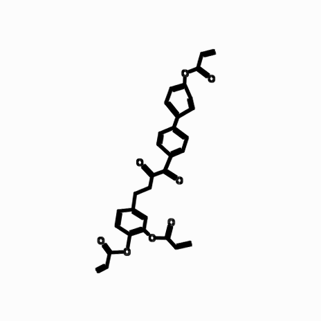 C=CC(=O)Oc1ccc(-c2ccc(C(=O)C(=O)CCc3ccc(OC(=O)C=C)c(OC(=O)C=C)c3)cc2)cc1